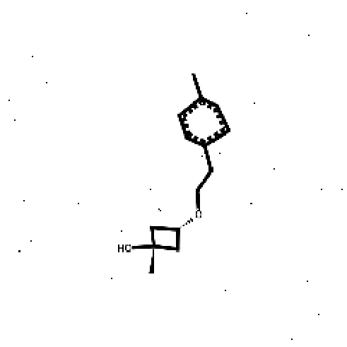 Cc1ccc(CCO[C@H]2C[C@@](C)(O)C2)cc1